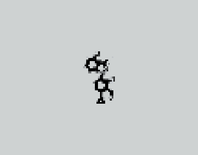 O=Cc1c(C2CC2)ccc(-n2nc(I)c3c(Cl)cccc32)c1Cl